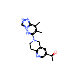 CC(=O)c1cnc2c(c1)CN(c1nn3cnnc3c(C)c1C)CC2